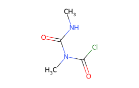 CNC(=O)N(C)C(=O)Cl